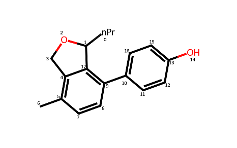 CCCC1OCc2c(C)ccc(-c3ccc(O)cc3)c21